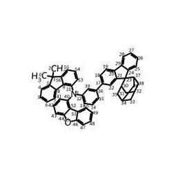 CC1(C)c2ccccc2-c2c(N(c3cccc(-c4ccc5c(c4)C4(c6ccccc6-5)C5CC6CC(C5)CC4C6)c3)c3cccc4oc5ccccc5c34)cccc21